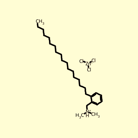 CCCCCCCCCCCCCCCCCCc1ccccc1C[NH+](C)C.[Cl][Zn-]([Cl])[Cl]